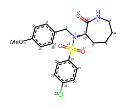 COc1ccc(CN([C@@H]2CCCCNC2=O)S(=O)(=O)c2ccc(Cl)cc2)cc1